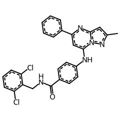 Cc1cc2nc(-c3ccccc3)cc(Nc3ccc(C(=O)NCc4c(Cl)cccc4Cl)cc3)n2n1